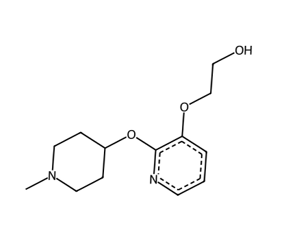 CN1CCC(Oc2ncccc2OCCO)CC1